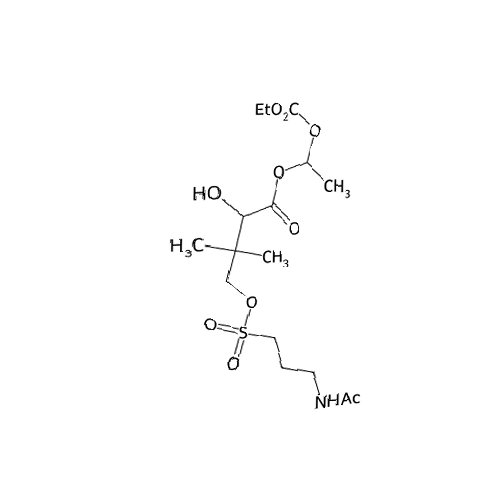 CCOC(=O)OC(C)OC(=O)C(O)C(C)(C)COS(=O)(=O)CCCNC(C)=O